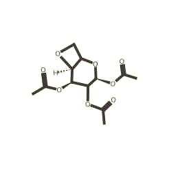 CC(=O)OC1[C@H](OC(C)=O)OC2CO[C@@H]2[C@@H]1OC(C)=O